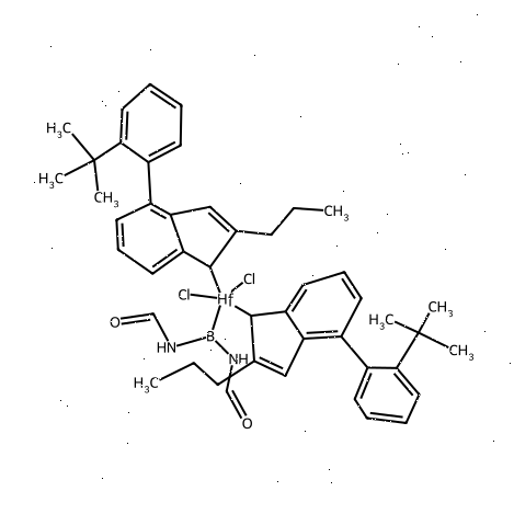 CCCC1=Cc2c(-c3ccccc3C(C)(C)C)cccc2[CH]1[Hf]([Cl])([Cl])([B](NC=O)NC=O)[CH]1C(CCC)=Cc2c(-c3ccccc3C(C)(C)C)cccc21